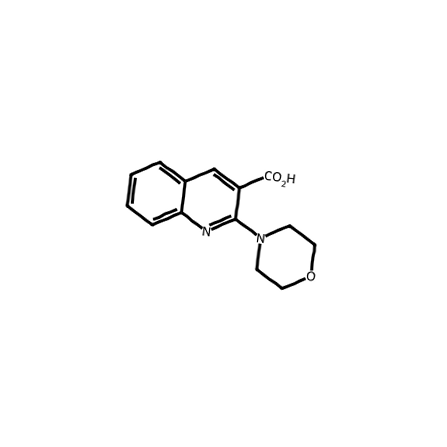 O=C(O)c1cc2ccccc2nc1N1CCOCC1